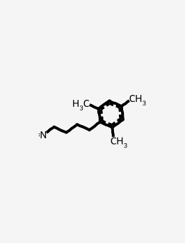 Cc1cc(C)c(CCCC[N])c(C)c1